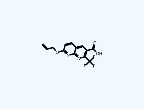 C=CCOc1ccc2cc(C(=O)O)c(C(F)(F)F)nc2n1